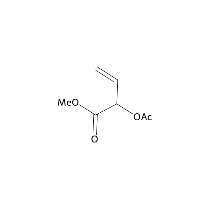 C=CC(OC(C)=O)C(=O)OC